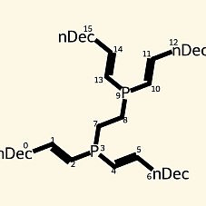 CCCCCCCCCC/C=C/P(/C=C/CCCCCCCCCC)CCP(/C=C/CCCCCCCCCC)/C=C/CCCCCCCCCC